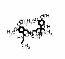 CCCNC(=O)c1cc(OC)c(OC)cc1CCN(C)CC(O)CC(C#N)(c1ccc(OC)c(OC)c1)C(C)C